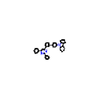 C1=Cc2c(c3ccccc3n2-c2ccc(-c3cccc(-c4cc(-c5ccccc5)nc(-c5ccccc5)n4)c3)cc2)CC1